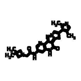 Cc1cnn(C)c1-c1cn2nc3c4ncc(NC(=O)CN5CC(C)(C)C5)cc4[nH]c(=O)c3c2s1